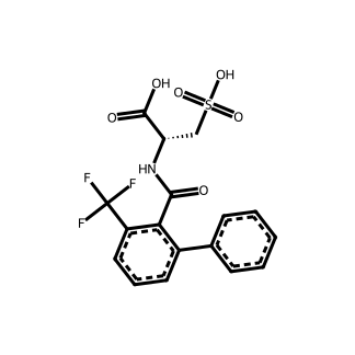 O=C(N[C@@H](CS(=O)(=O)O)C(=O)O)c1c(-c2ccccc2)cccc1C(F)(F)F